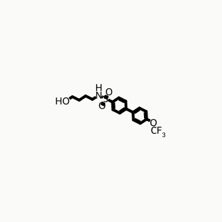 O=S(=O)(NCCCCO)c1ccc(-c2ccc(OC(F)(F)F)cc2)cc1